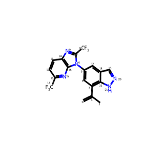 C=C(C)c1cc(-n2c(C(F)(F)F)nc3ccc(C(F)(F)F)nc32)cc2cn[nH]c12